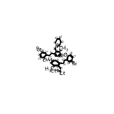 CCN(CC)Cc1c(C)cccc1CCc1cc(Br)ccc1OC.COc1ccc(Br)cc1CCc1cccc(C)c1CN1CCCCC1